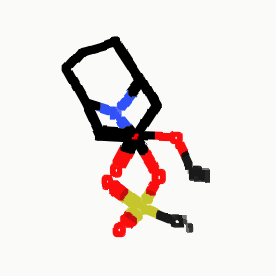 CC(C)(C)OC(=O)N1C2C=C(OS(=O)(=O)C(F)(F)F)CC1CCC2